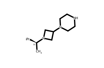 CC(C)[C@H](C)N1CC(N2CCNCC2)C1